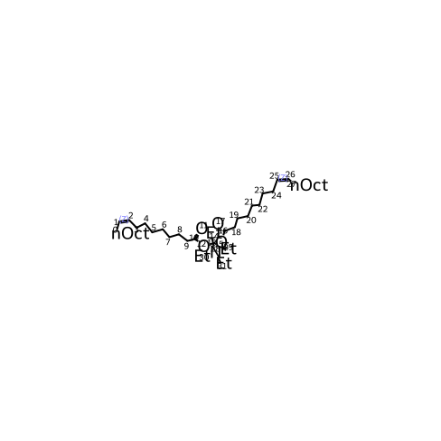 CCCCCCCC/C=C\CCCCCCCC(=O)OC(CC)(OC(=O)CCCCCCC/C=C\CCCCCCCC)[N+](CC)(CC)CC